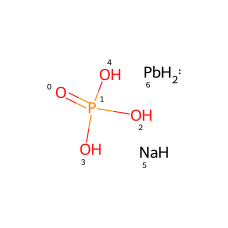 O=P(O)(O)O.[NaH].[PbH2]